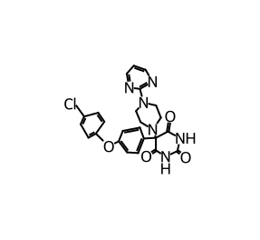 O=C1NC(=O)C(c2ccc(Oc3ccc(Cl)cc3)cc2)(N2CCN(c3ncccn3)CC2)C(=O)N1